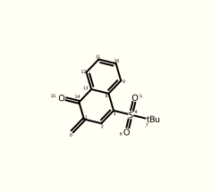 C=C1C=C(S(=O)(=O)C(C)(C)C)c2ccccc2C1=O